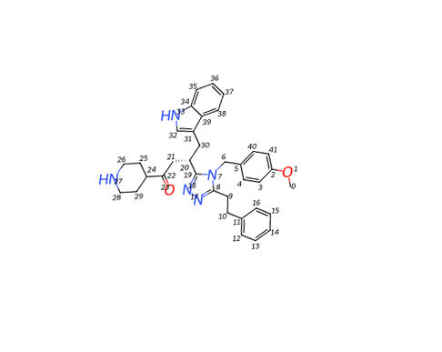 COc1ccc(Cn2c(CCc3ccccc3)nnc2[C@H](CC(=O)C2CCNCC2)Cc2c[nH]c3ccccc23)cc1